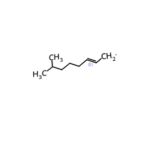 [CH2]/C=C/CCCC(C)C